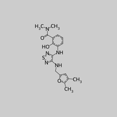 Cc1cc(CNc2nsnc2Nc2cccc(C(=O)N(C)C)c2O)oc1C